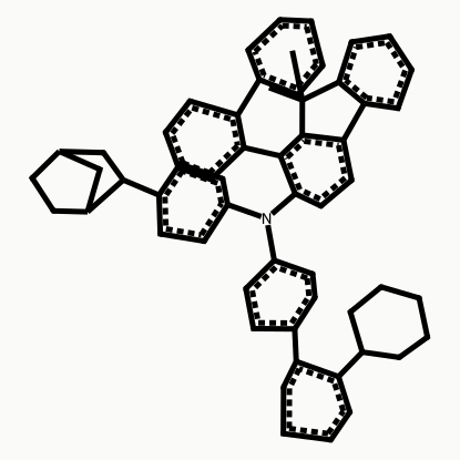 CC1(C)c2ccccc2-c2ccc(N(c3ccc(-c4ccccc4C4CCCCC4)cc3)c3ccc(C4CC5CCC4C5)cc3)c(-c3ccccc3-c3ccccc3)c21